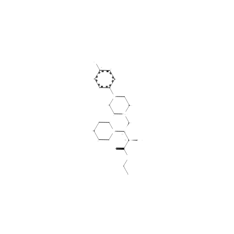 CCOC(=O)[C@H](F)[C@H](CN1CCN(c2ccc(Br)cc2)CC1)N1CCCCC1